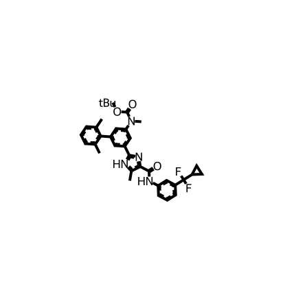 Cc1cccc(C)c1-c1cc(-c2nc(C(=O)Nc3cccc(C(F)(F)C4CC4)c3)c(C)[nH]2)cc(N(C)C(=O)OC(C)(C)C)c1